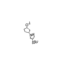 CC(C)(C)c1cnn(C2CCC(OI)C2)c1